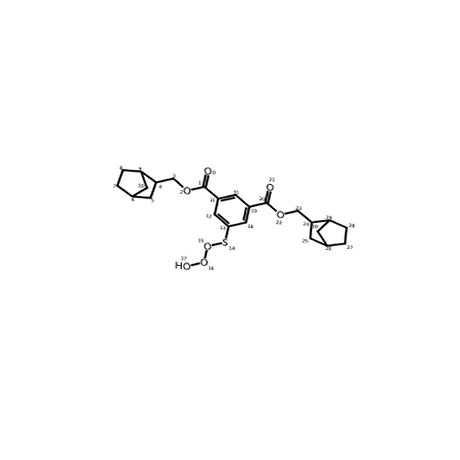 O=C(OCC1CC2CCC1C2)c1cc(SOOO)cc(C(=O)OCC2CC3CCC2C3)c1